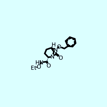 [CH2]CONC(=O)[C@@H]1CC[C@@H]2CN1C(=O)N2OCc1ccccc1